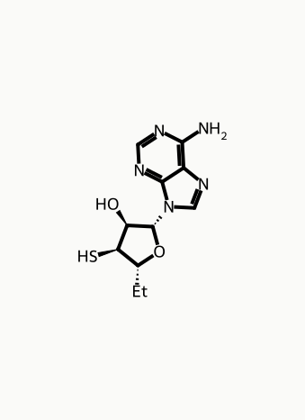 CC[C@H]1O[C@@H](n2cnc3c(N)ncnc32)[C@H](O)[C@@H]1S